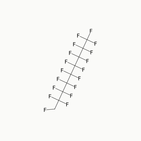 FCC(F)(F)C(F)(F)C(F)(F)C(F)(F)C(F)(F)C(F)(F)C(F)(F)C(F)(F)F